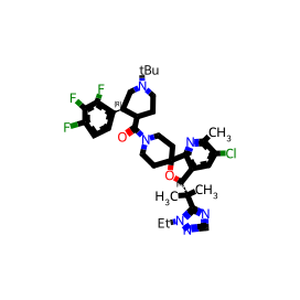 CCn1ncnc1C(C)(C)[C@@H]1OC2(CCN(C(=O)C3CCN(C(C)(C)C)C[C@H]3c3ccc(F)c(F)c3F)CC2)c2nc(C)c(Cl)cc21